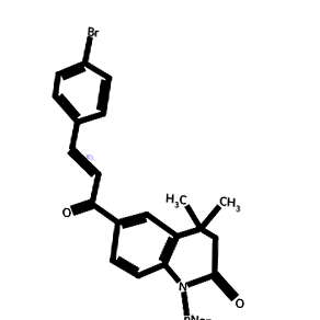 CCCCCCCCCN1C(=O)CC(C)(C)c2cc(C(=O)/C=C/c3ccc(Br)cc3)ccc21